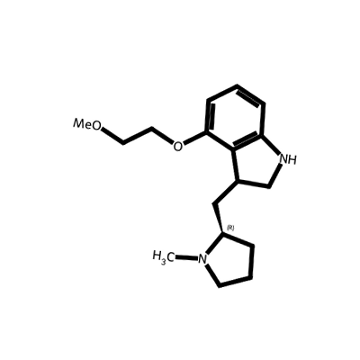 COCCOc1cccc2c1C(C[C@H]1CCCN1C)CN2